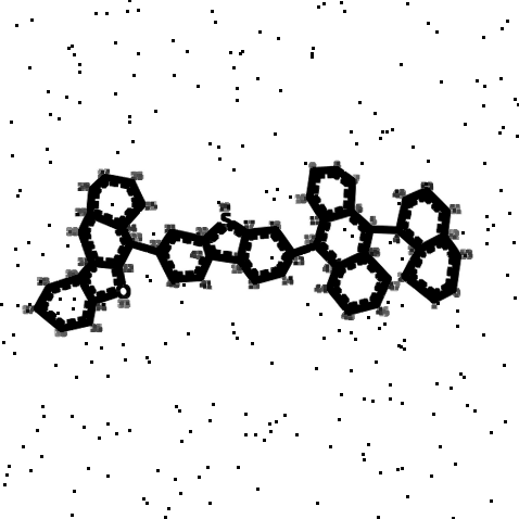 c1ccc2c(-c3c4ccccc4c(-c4ccc5c(c4)sc4cc(-c6c7ccccc7cc7c6oc6ccccc67)ccc45)c4ccccc34)cccc2c1